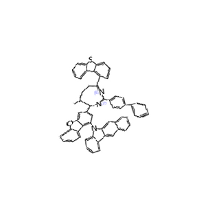 CC1CC/C(c2cccc3sc4ccccc4c23)=N\C(c2ccc(-c3ccccc3)cc2)=N/C1c1cc(-n2c3ccccc3c3cc4ccccc4cc32)c2c(c1)oc1ccccc12